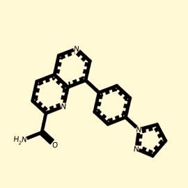 NC(=O)c1ccc2cncc(-c3ccc(-n4cccn4)cc3)c2n1